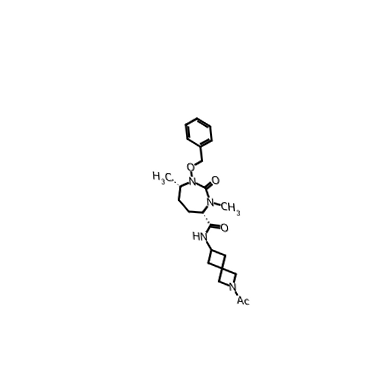 CC(=O)N1CC2(CC(NC(=O)[C@@H]3CC[C@H](C)N(OCc4ccccc4)C(=O)N3C)C2)C1